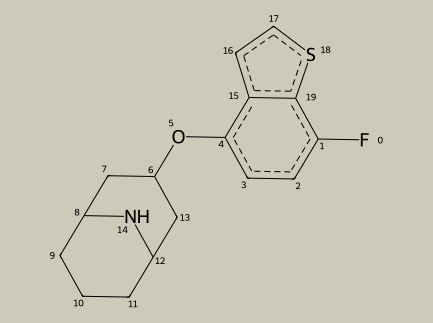 Fc1ccc(OC2CC3CCCC(C2)N3)c2ccsc12